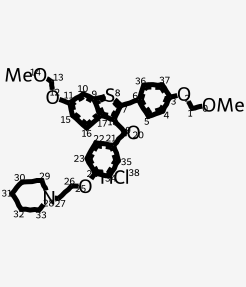 COCOc1ccc(-c2sc3cc(OCOC)ccc3c2C(=O)c2ccc(OCCN3CCCCC3)cc2)cc1.Cl